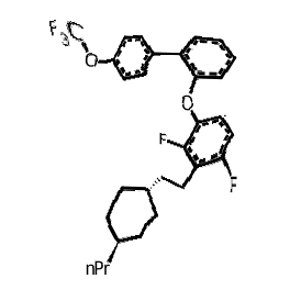 CCC[C@H]1CC[C@H](CCc2c(F)c[c]c(Oc3ccccc3-c3ccc(OC(F)(F)F)cc3)c2F)CC1